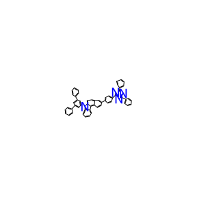 c1ccc(-c2cc(-c3ccccc3)cc(-n3c4ccccc4c4c5ccc(-c6ccc(-c7nc(-c8ccccc8)nc(-c8ccccc8)n7)cc6)cc5ccc43)c2)cc1